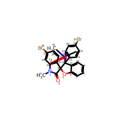 CN1C(=O)C2(Oc3ccccc3C23C(=O)N(C)c2cc(Br)ccc23)c2ccc(Br)cc21